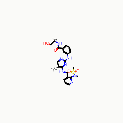 C[C@@H](CO)NC(=O)c1cccc(Nc2ncc(C(F)(F)F)c(NCc3cccnc3N(C)S(C)(=O)=O)n2)c1